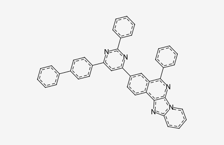 c1ccc(-c2ccc(-c3cc(-c4ccc5c(c4)c(-c4ccccc4)nc4c5nc5ccccn54)nc(-c4ccccc4)n3)cc2)cc1